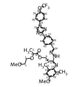 COCCOC(C)C(=O)OCS/C(=N\c1c(C)cc(OC)cc1C)N/N=C/c1ccc(-c2ncn(-c3ccc(OC(F)(F)F)cc3)n2)cc1